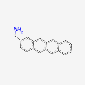 NCc1ccc2cc3cc4ccccc4cc3cc2c1